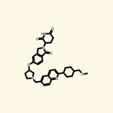 COCC1CCC(c2ccc3cc(CN4CCC(Oc5ccc6c(c5)CN(C5CCC(=O)NC5=O)C6=O)C4)ccc3n2)CC1